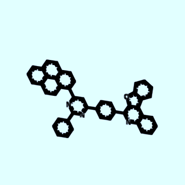 c1ccc(-c2nc(-c3ccc(-c4nc5ccccc5c5c4oc4ccccc45)cc3)cc(-c3ccc4ccc5cccc6ccc3c4c56)n2)cc1